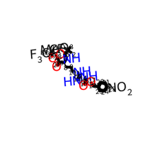 COC(C)(C)C(=O)N[C@@H](CCCNC(=N)NC(=O)OCc1ccc([N+](=O)[O-])cc1)C(=O)COC(C(F)(F)F)C(F)(F)F